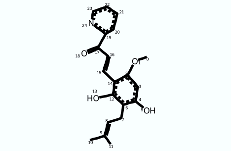 COc1cc(O)c(CC=C(C)C)c(O)c1C=CC(=O)c1ccccn1